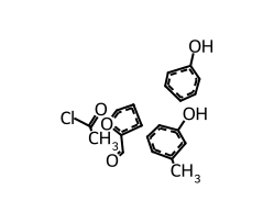 CC(=O)Cl.Cc1cccc(O)c1.O=Cc1ccco1.Oc1ccccc1